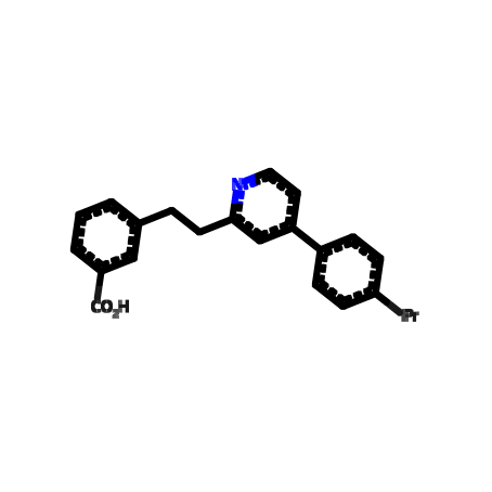 CC(C)c1ccc(-c2ccnc(CCc3cccc(C(=O)O)c3)c2)cc1